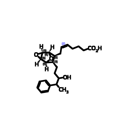 CC(c1ccccc1)C(O)CC[C@@H]1[C@H](C/C=C\CCCC(=O)O)[C@H]2O[C@@H]1[C@H]1O[C@H]12